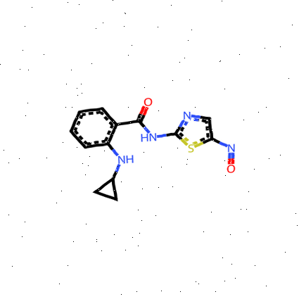 O=Nc1cnc(NC(=O)c2ccccc2NC2CC2)s1